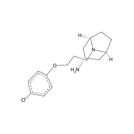 N[C@@H]1C[C@H]2CC[C@@H](C1)N2CCCOc1ccc(Cl)cc1